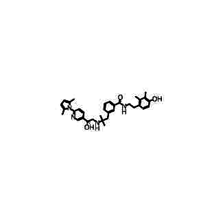 Cc1c(O)ccc(CCNC(=O)c2cccc(CC(C)(C)NC[C@H](O)c3ccc(-n4c(C)ccc4C)nc3)c2)c1C